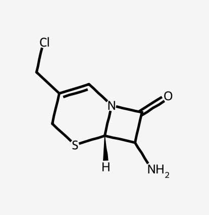 NC1C(=O)N2C=C(CCl)CS[C@@H]12